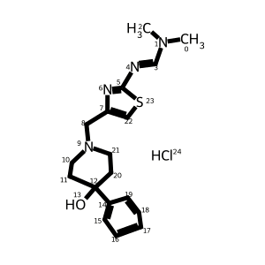 CN(C)C=Nc1nc(CN2CCC(O)(c3ccccc3)CC2)cs1.Cl